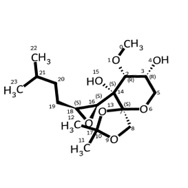 CO[C@@H]1[C@H](O)CO[C@]2(COC(C)(C)O2)[C@@]1(O)[C@H]1O[C@H]1CCC(C)C